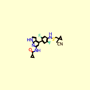 N#CCC1(CSNc2cc(F)c(-c3cc(NC(=O)C4CC4)nc4[nH]ccc34)cc2F)CC1